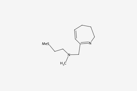 CSCCN(C)CC1=NCCCC=C1